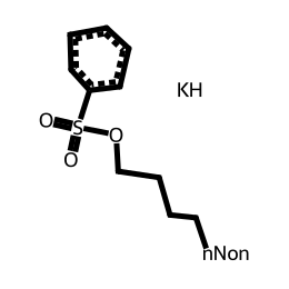 CCCCCCCCCCCCCOS(=O)(=O)c1ccccc1.[KH]